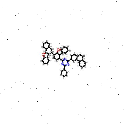 c1ccc(-c2nc(-c3ccc4ccc5ccccc5c4c3)nc(-c3ccc(-c4cc5ccccc5c5oc6ccccc6c45)c4oc5ccccc5c34)n2)cc1